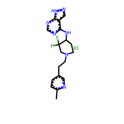 Cc1ccc(CCN2CCC(Nc3ncnc4[nH]ncc34)C(F)(F)C2)cn1.Cl